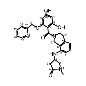 CN1CC(Nc2cccc3c2CN(C(=O)c2c(O)cc(O)cc2OCc2ccccn2)CC3)CC1=O